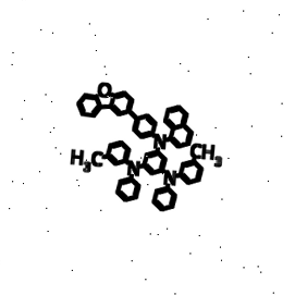 Cc1cccc(N(c2ccccc2)c2cc(N(c3ccccc3)c3cccc(C)c3)cc(N(c3ccc(-c4ccc5oc6ccccc6c5c4)cc3)c3cccc4ccccc34)c2)c1